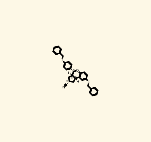 N#C[C@@H]1C[C@H]2[C@@H](C1)c1cc(OCc3ccccc3)ccc1O[C@H]2c1ccc(OCc2ccccc2)cc1